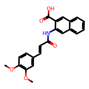 COc1ccc(/C=C/C(=O)Nc2cc3ccccc3cc2C(=O)O)cc1OC